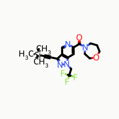 C[Si](C)(C)C#Cc1nn(CC(F)(F)F)c2cc(C(=O)N3CCCOCC3)ncc12